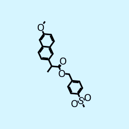 COc1ccc2cc(C(C)C(=O)OCc3ccc(S(C)(=O)=O)cc3)ccc2c1